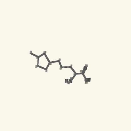 CC1CCC(CCCC(N)C(=O)O)C1